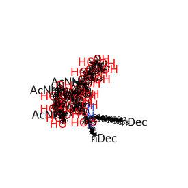 CCCCCCCCCCCCC/C=C/[C@@H](O)[C@H](CO[C@@H]1OC(CO)[C@@H](O[C@@H]2OC(CO)[C@H](O[C@@H]3OC(CO)[C@H](O)[C@H](O[C@@H]4OC(CO)[C@H](O)[C@H](O[C@H]5OC(CO)[C@H](O)[C@H](O)C5O)C4O)C3NC(C)=O)[C@H](O[C@]3(C(=O)O)CC(O)[C@@H](NC(C)=O)C([C@H](O)[C@@H](CO)O[C@]4(C(=O)O)CC(O)[C@@H](NC(C)=O)C([C@H](O)[C@H](O)CO)O4)O3)C2O)[C@H](O)C1O)NC(=O)CCCCCCCCCCCCCCCCCCC